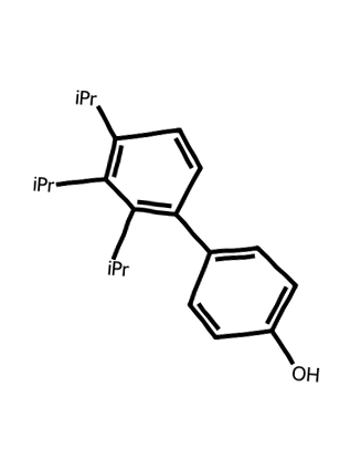 CC(C)c1ccc(-c2ccc(O)cc2)c(C(C)C)c1C(C)C